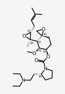 CCN(CC)CC[C@H]1CCCN1C(=O)O[C@@H]1CC[C@]2(CO2)[C@@H]([C@@]2(C)O[C@@H]2CC=C(C)C)[C@@H]1OC